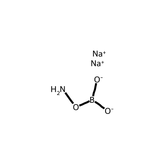 NOB([O-])[O-].[Na+].[Na+]